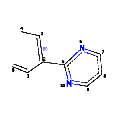 C=C/C(=C\C)c1ncccn1